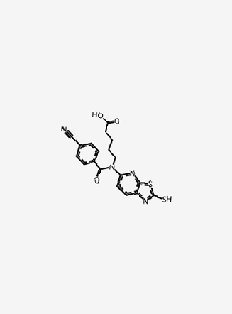 N#Cc1ccc(C(=O)N(CCCCC(=O)O)c2ccc3nc(S)sc3n2)cc1